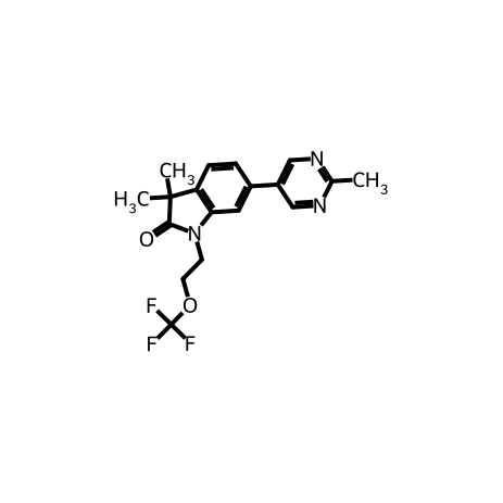 Cc1ncc(-c2ccc3c(c2)N(CCOC(F)(F)F)C(=O)C3(C)C)cn1